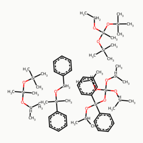 C[SiH2]O[Si](C)(O[Si](C)(C)C)O[Si](C)(C)C.C[SiH](C)O[Si](C)(C)O[Si](C)(C)C.C[SiH](C)O[Si](O[SiH](C)C)(O[SiH](C)C)O[Si](O[SiH](C)C)(c1ccccc1)c1ccccc1.C[Si](C)(O[SiH2]c1ccccc1)c1ccccc1